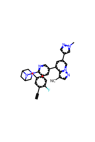 C#Cc1cc(CN2C3CC2CN(c2ccc(-c4cc(-c5cnn(C)c5)cn5ncc(C#N)c45)cn2)C3)ccc1F